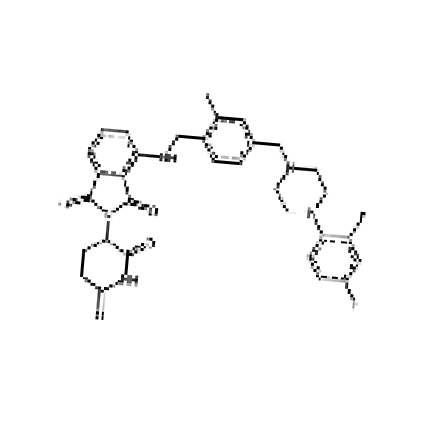 Cc1cc(CN2CCN(c3ccc(F)cc3F)CC2)ccc1CNc1cccc2c1C(=O)N(C1CCC(=O)NC1=O)C2=O